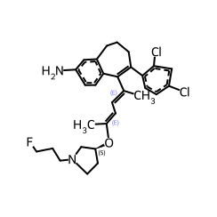 C/C(=C\C=C(/C)C1=C(c2ccc(Cl)cc2Cl)CCCc2cc(N)ccc21)O[C@H]1CCN(CCCF)C1